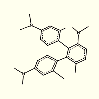 Cc1cc(N(C)C)ccc1-c1c(C)ccc(N(C)C)c1-c1ccc(N(C)C)cc1C